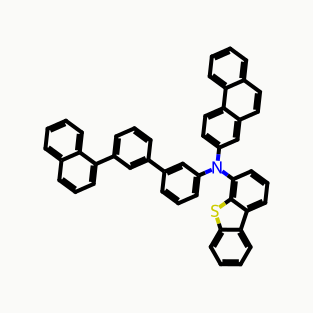 c1cc(-c2cccc(N(c3ccc4c(ccc5ccccc54)c3)c3cccc4c3sc3ccccc34)c2)cc(-c2cccc3ccccc23)c1